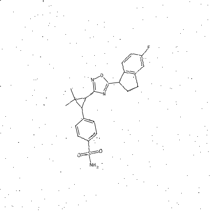 CC1(C)C(c2ccc(S(N)(=O)=O)cc2)C1c1noc(C2CCc3cc(F)ccc32)n1